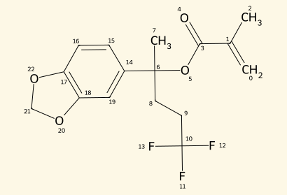 C=C(C)C(=O)OC(C)(CCC(F)(F)F)c1ccc2c(c1)OCO2